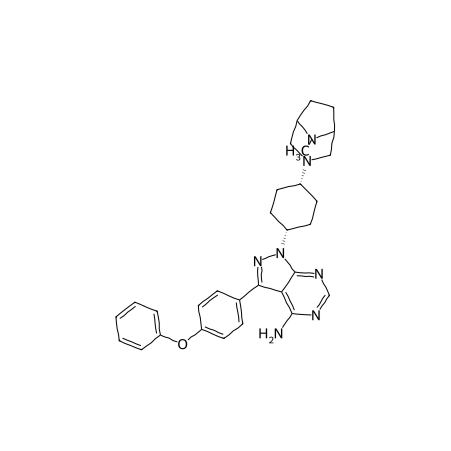 CN1C2CCC1CN([C@H]1CC[C@@H](n3nc(-c4ccc(Oc5ccccc5)cc4)c4c(N)ncnc43)CC1)C2